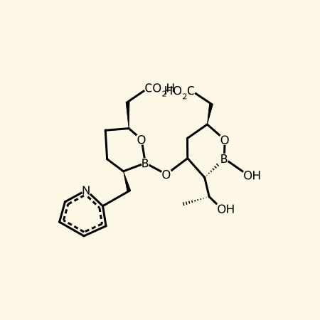 C[C@@H](O)[C@H]1B(O)O[C@H](CC(=O)O)CC1OB1O[C@H](CC(=O)O)CC[C@@H]1Cc1ccccn1